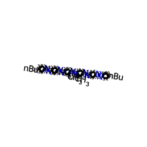 CCCCc1ccc(N=Nc2ccc(N=Nc3ccc(N=Nc4ccc(N=Nc5ccc(N=Nc6ccc(CCCC)cc6)cc5)cc4C)c(C)c3)cc2)cc1